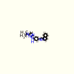 CN(C)c1ccnc(NC2CCC(NCc3cccc4ccccc34)CC2)n1